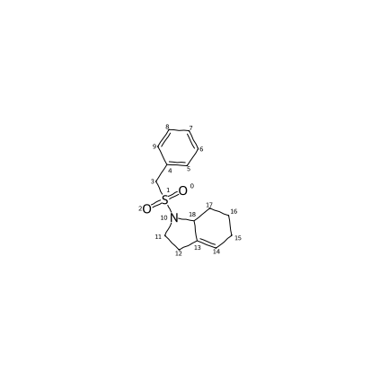 O=S(=O)(Cc1ccccc1)N1CCC2=CCCCC21